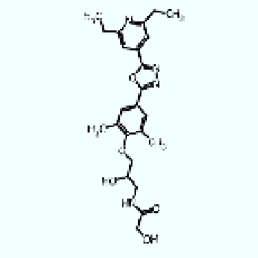 CCc1cc(-c2nnc(-c3cc(C)c(OCC(O)CNC(=O)CO)c(C)c3)o2)cc(CC)n1